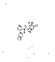 Nc1nc2c(C(=O)Nc3cnccc3N3CCN4CCCC4C3)cnn2cc1Cl